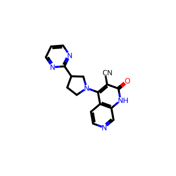 N#Cc1c(N2CCC(c3ncccn3)C2)c2ccncc2[nH]c1=O